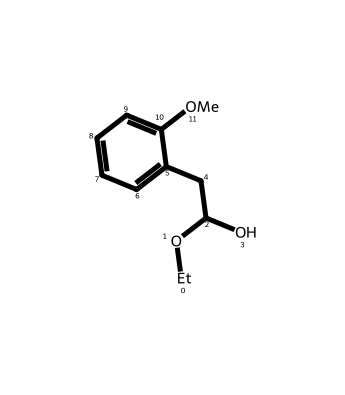 CCOC(O)Cc1ccccc1OC